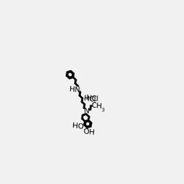 CCCN(CCCCCCNCCCc1ccccc1)[C@H]1CCc2c(ccc(O)c2O)C1.Cl.Cl